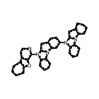 c1ccc2c(c1)cc1n(-c3ccc4cc5n(-c6nccc7c6oc6ccccc67)c6ccccc6n5c4c3)c3ccccc3n21